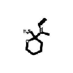 C=C[SiH](C)C1([SiH3])CCCCO1